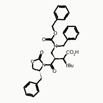 CC(C)(C)C(C(=O)O)[C@H](CN(Cc1ccccc1)C(=O)OCc1ccccc1)C(=O)N1C(=O)OC[C@H]1Cc1ccccc1